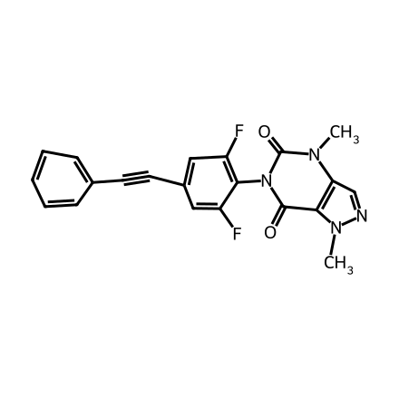 Cn1ncc2c1c(=O)n(-c1c(F)cc(C#Cc3ccccc3)cc1F)c(=O)n2C